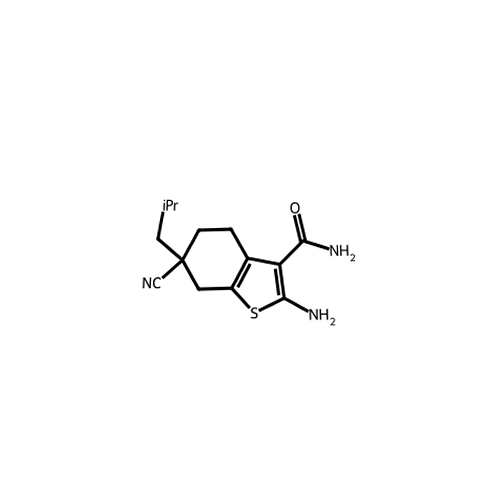 CC(C)CC1(C#N)CCc2c(sc(N)c2C(N)=O)C1